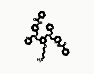 NCCCCOc1cc(CN(Cc2ccccn2)Cc2cccc(NC(=O)c3ccccc3)n2)cc(CN(Cc2ccccn2)Cc2cccc(NC(=O)c3ccccc3)n2)c1